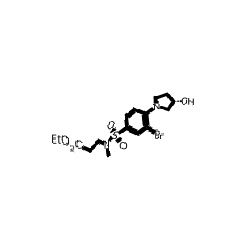 CCOC(=O)CCN(C)S(=O)(=O)c1ccc(N2CC[C@H](O)C2)c(Br)c1